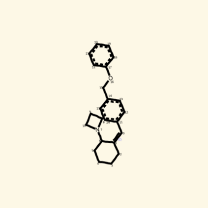 C(=C1\CCCCC1N1CCC1)/c1ccc(COc2ccccc2)cc1